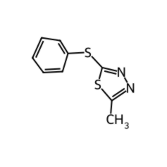 Cc1nnc(Sc2ccccc2)s1